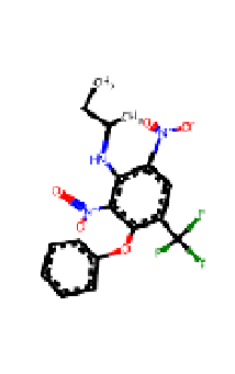 CCC(C)Nc1c([N+](=O)[O-])cc(C(F)(F)F)c(Oc2ccccc2)c1[N+](=O)[O-]